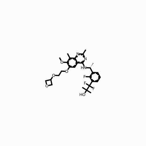 COc1c(OCCOC2COC2)cc2c(N[C@H](C)c3cccc(C(F)(F)C(C)(C)O)c3F)nc(C)nc2c1C